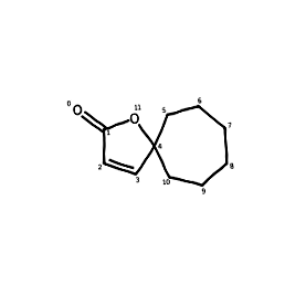 O=C1C=CC2(CCCCCC2)O1